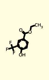 CCOC(=O)c1ccc(O)c(C(F)(F)F)c1